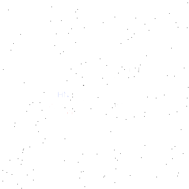 CC(C)c1cc(C#N)sc1-c1ccc2c(c1)C(C)(C)OC(=O)N2